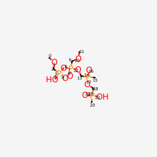 COCP(=O)(O)OP(=O)(COC)OCP(C)(=O)OCP(C)(=O)O